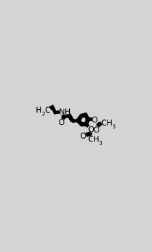 C=CCNC(=O)/C=C/c1ccc(OC(C)=O)c(OC(C)=O)c1